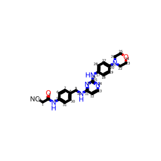 N#CCC(=O)Nc1ccc(CNc2ccnc(Nc3ccc(N4CCOCC4)cc3)n2)cc1